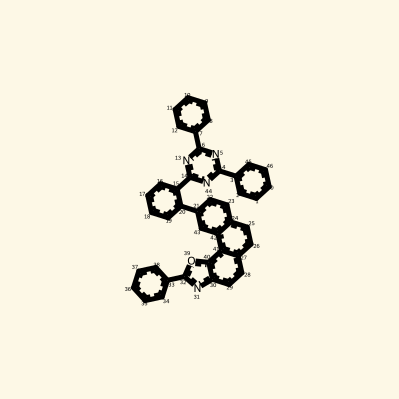 c1ccc(-c2nc(-c3ccccc3)nc(-c3ccccc3-c3ccc4ccc5ccc6nc(-c7ccccc7)oc6c5c4c3)n2)cc1